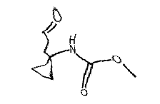 COC(=O)NC1(C=O)CC1